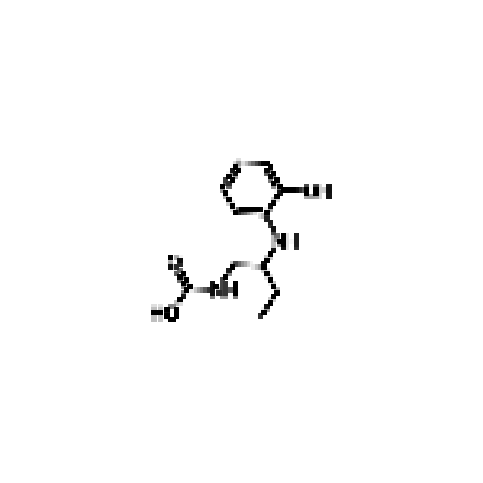 CCC(CNC(=O)O)Nc1ccccc1O